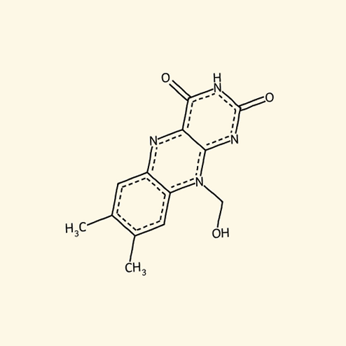 Cc1cc2nc3c(=O)[nH]c(=O)nc-3n(CO)c2cc1C